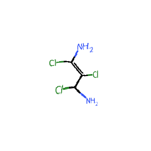 NC(Cl)=C(Cl)C(N)Cl